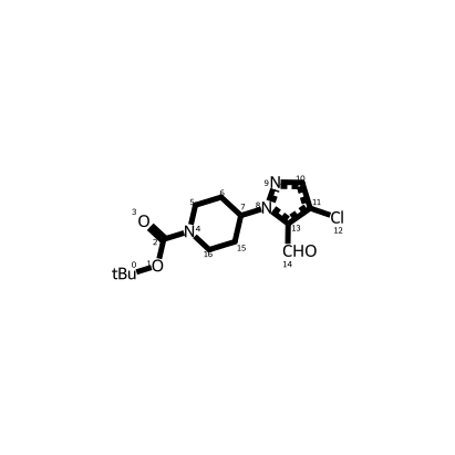 CC(C)(C)OC(=O)N1CCC(n2ncc(Cl)c2C=O)CC1